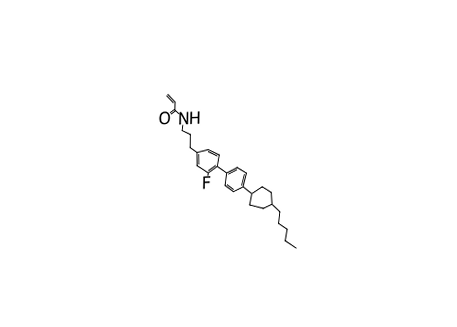 C=CC(=O)NCCCc1ccc(-c2ccc(C3CCC(CCCCC)CC3)cc2)c(F)c1